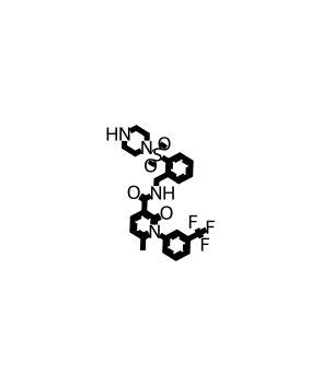 Cc1ccc(C(=O)NCc2ccccc2S(=O)(=O)N2CCNCC2)c(=O)n1-c1cccc(C(F)(F)F)c1